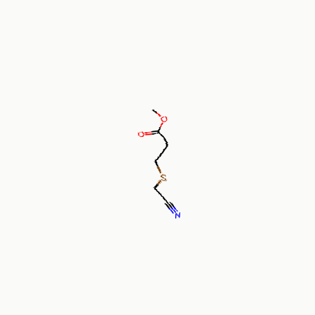 COC(=O)CCSCC#N